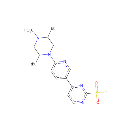 CCC1CN(c2ccc(-c3ccnc(S(C)(=O)=O)n3)cn2)C(C(C)(C)C)CN1C(=O)O